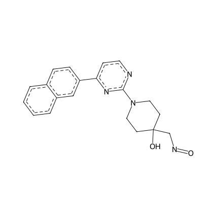 O=NCC1(O)CCN(c2nccc(-c3ccc4ccccc4c3)n2)CC1